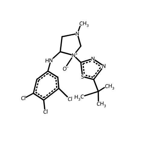 CN1CC(Nc2cc(Cl)c(Cl)c(Cl)c2)[N+]([O-])(c2nnc(C(C)(C)C)s2)C1